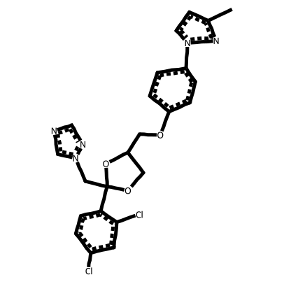 Cc1ccn(-c2ccc(OCC3COC(Cn4cncn4)(c4ccc(Cl)cc4Cl)O3)cc2)n1